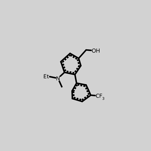 CCN(C)c1ccc(CO)cc1-c1cccc(C(F)(F)F)c1